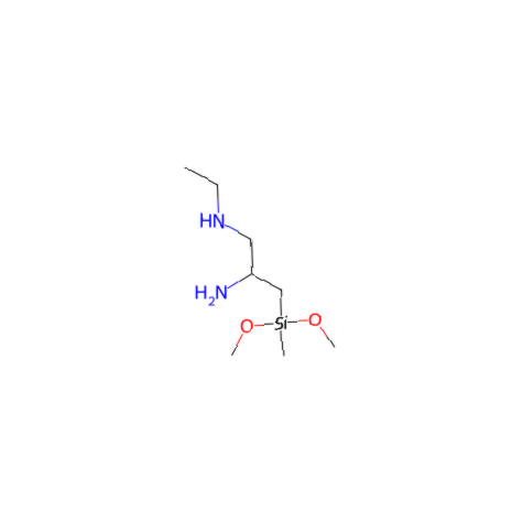 CCNCC(N)C[Si](C)(OC)OC